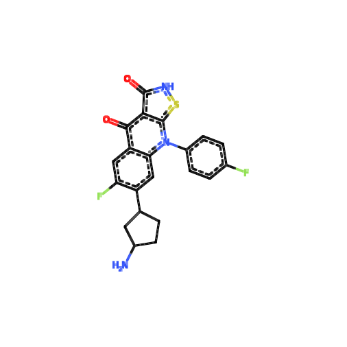 NC1CCC(c2cc3c(cc2F)c(=O)c2c(=O)[nH]sc2n3-c2ccc(F)cc2)C1